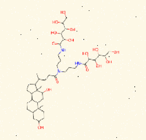 CC(CCC(=O)N(CCCNC(=O)C(O)C(O)C(O)C(O)CO)CCCNC(=O)C(O)C(O)C(O)C(O)CO)C1CCC2C3CCC4CC(O)CCC4(C)C3CC(O)C12C